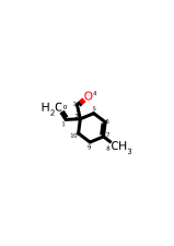 C=CC1(C=O)CC=C(C)CC1